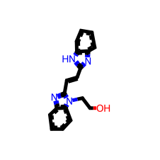 OCCn1c(/C=C/c2nc3ccccc3[nH]2)nc2ccccc21